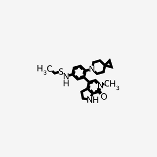 CCSNc1ccc(N2CCC3(CC2)CC3)c(-c2cn(C)c(=O)c3c2CCN3)c1